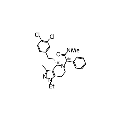 CCn1nc(C)c2c1CCN([C@@H](C(=O)NC)c1ccccc1)[C@H]2CCc1ccc(Cl)c(Cl)c1